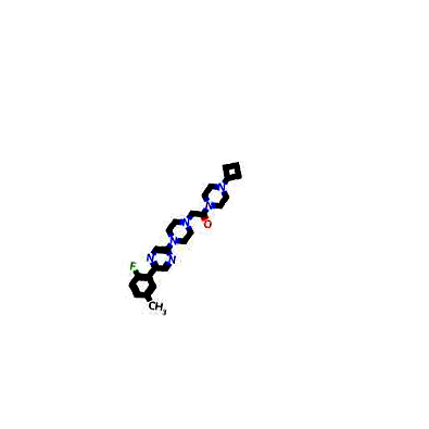 Cc1ccc(F)c(-c2cnc(N3CCN(CC(=O)N4CCN(C5CCC5)CC4)CC3)cn2)c1